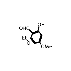 CCO.COc1ccc(C=O)c(O)c1